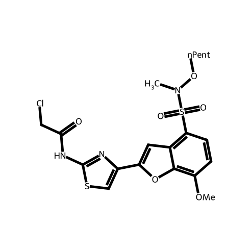 CCCCCON(C)S(=O)(=O)c1ccc(OC)c2oc(-c3csc(NC(=O)CCl)n3)cc12